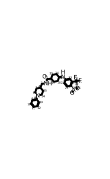 O=C(NCC1CCN(c2ccccc2)CC1)C1CCC(Nc2ccc([N+](=O)[O-])c(C(F)(F)F)c2)CC1